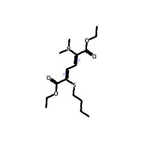 CCCCS/C(=C\C=C(\C(=O)OCC)N(C)C)C(=O)OCC